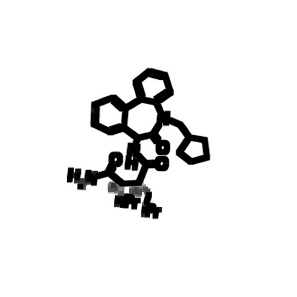 CCC[C@H](C(N)=O)[C@@H](CC(C)C)C(=O)NC1C(=O)N(CC2CCCC2)c2ccccc2-c2ccccc21